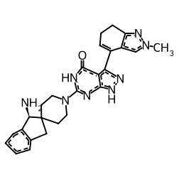 Cn1cc2c(n1)CCC=C2c1n[nH]c2nc(N3CCC4(CC3)Cc3ccccc3[C@H]4N)[nH]c(=O)c12